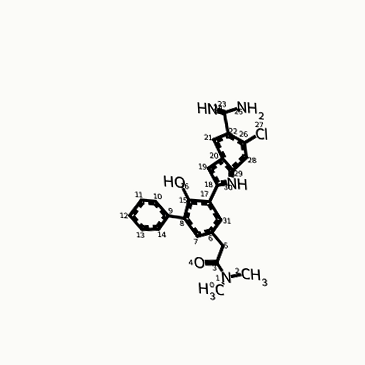 CN(C)C(=O)Cc1cc(-c2ccccc2)c(O)c(-c2cc3cc(C(=N)N)c(Cl)cc3[nH]2)c1